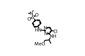 COCC(C)Nc1nc(Nc2ccc(S(=O)(=O)N(C)C)cc2)ncc1Cl